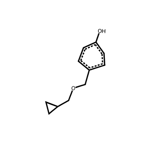 Oc1ccc(COCC2CC2)cc1